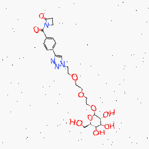 O=C1CCN1C(=O)c1ccc(-c2cn(CCOCCOCCOC3O[C@H](CO)[C@H](O)[C@H](O)[C@H]3O)nn2)cc1